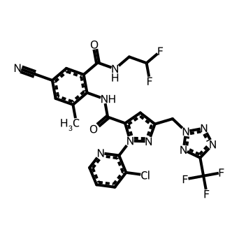 Cc1cc(C#N)cc(C(=O)NCC(F)F)c1NC(=O)c1cc(Cn2nnc(C(F)(F)F)n2)nn1-c1ncccc1Cl